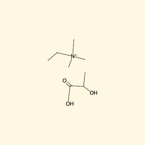 CC(O)C(=O)O.CC[N+](C)(C)C